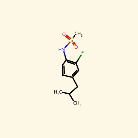 CC(C)[CH]c1ccc(NS(C)(=O)=O)c(F)c1